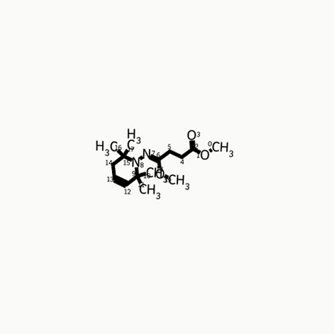 COC(=O)CCC(=NN1C(C)(C)C#CCC1(C)C)OC